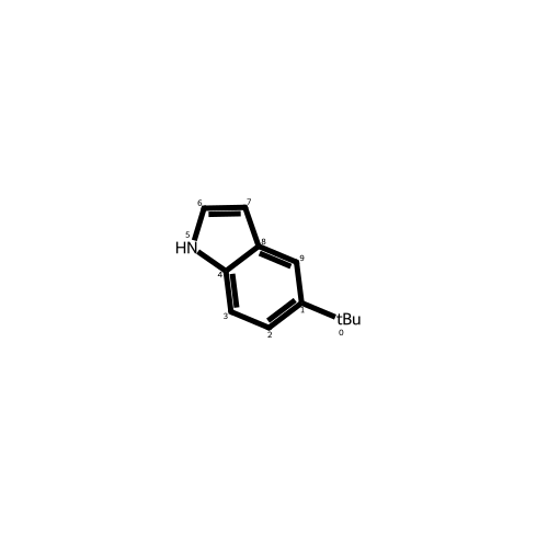 CC(C)(C)c1ccc2[nH]ccc2c1